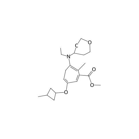 CCN(C1=C(C)C(C(=O)OC)=CC(OC2CC(C)C2)=CC1)C1CCOCC1